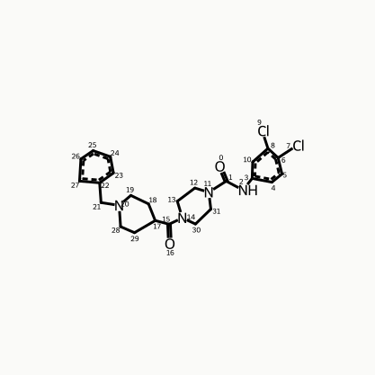 O=C(Nc1ccc(Cl)c(Cl)c1)N1CCN(C(=O)C2CCN(Cc3ccccc3)CC2)CC1